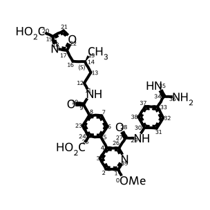 COc1ccc(-c2ccc(C(=O)NCC[C@H](C)Cc3nc(C(=O)O)co3)cc2C(=O)O)c(C(=O)Nc2ccc(C(=N)N)cc2)n1